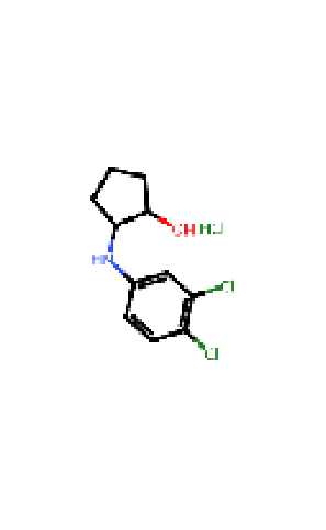 Cl.OC1CCCC1Nc1ccc(Cl)c(Cl)c1